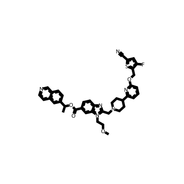 COCCn1c(CN2CCC(c3cccc(OCc4sc(C#N)cc4F)n3)CC2)nc2ccc(C(=O)OC(C)c3ccc4cnccc4c3)cc21